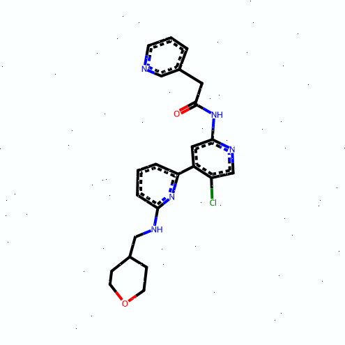 O=C(Cc1cccnc1)Nc1cc(-c2cccc(NCC3CCOCC3)n2)c(Cl)cn1